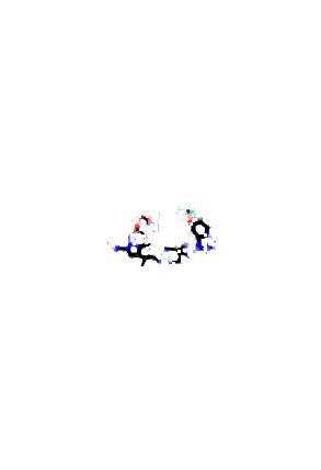 Cc1c(CN2CCC3(CC2)CN(c2ncnc4ccc(OC(F)(F)F)cc24)C3)ccc2c1cc(C#N)n2C[C@@H]1CNC(=O)CO1